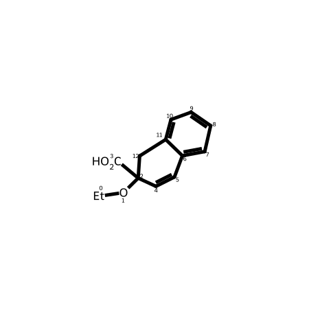 CCOC1(C(=O)O)C=Cc2ccccc2C1